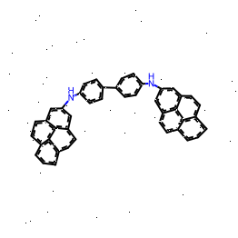 c1cc2ccc3cc(Nc4ccc(-c5ccc(Nc6cc7ccc8cccc9ccc(c6)c7c89)cc5)cc4)cc4ccc(c1)c2c34